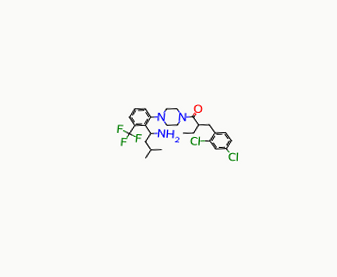 CCC(Cc1ccc(Cl)cc1Cl)C(=O)N1CCN(c2cccc(C(F)(F)F)c2C(N)CC(C)C)CC1